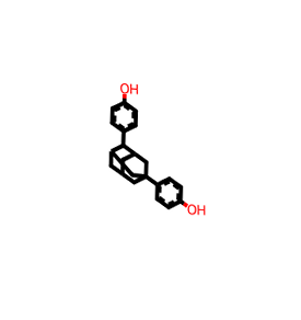 Oc1ccc(C2C3CC4CC2CC(c2ccc(O)cc2)(C4)C3)cc1